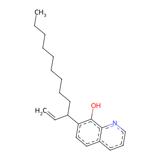 C=CC(CCCCCCCCC)c1ccc2cccnc2c1O